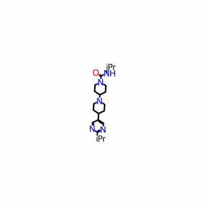 CC(C)NC(=O)N1CCC(N2CCC(c3cnc(C(C)C)nc3)CC2)CC1